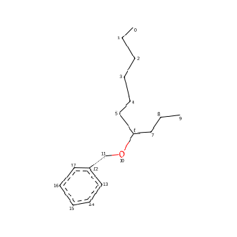 CCCCCCC(CCC)O[CH]c1ccccc1